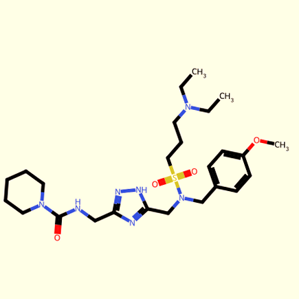 CCN(CC)CCCS(=O)(=O)N(Cc1ccc(OC)cc1)Cc1nc(CNC(=O)N2CCCCC2)n[nH]1